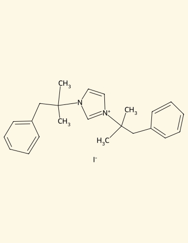 CC(C)(Cc1ccccc1)n1cc[n+](C(C)(C)Cc2ccccc2)c1.[I-]